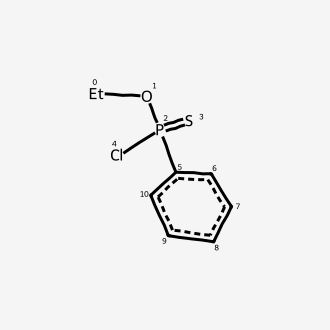 CCOP(=S)(Cl)c1ccccc1